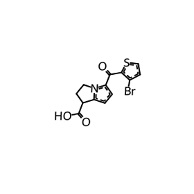 O=C(c1sccc1Br)c1ccc2n1CCC2C(=O)O